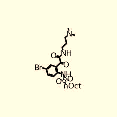 CCCCCCCCS(=O)(=O)Nc1ccc(Br)cc1C(=O)C(=O)NCCCN(C)C